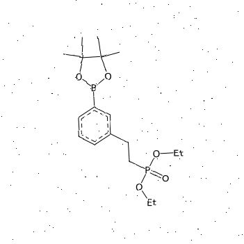 CCOP(=O)(CCc1cccc(B2OC(C)(C)C(C)(C)O2)c1)OCC